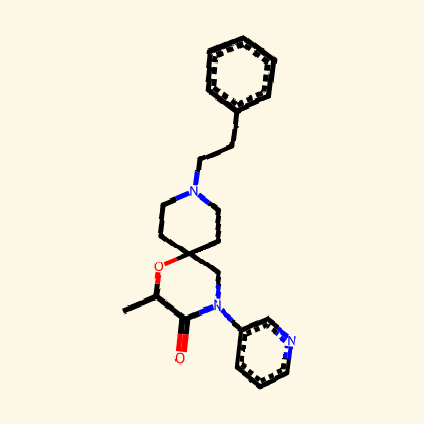 CC1OC2(CCN(CCc3ccccc3)CC2)CN(c2cccnc2)C1=O